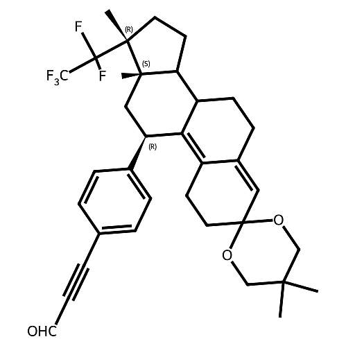 CC1(C)COC2(C=C3CCC4C(=C3CC2)[C@@H](c2ccc(C#CC=O)cc2)C[C@@]2(C)C4CC[C@@]2(C)C(F)(F)C(F)(F)F)OC1